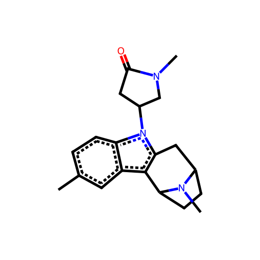 Cc1ccc2c(c1)c1c(n2C2CC(=O)N(C)C2)CC2CCC1N2C